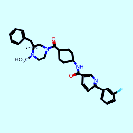 C[C@]1(Cc2ccccc2)CN(C(=O)C2CCC(NC(=O)c3ccc(-c4cccc(F)c4)nc3)CC2)CCN1C(=O)O